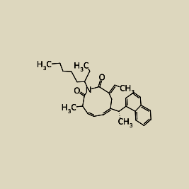 C/C=C1\C/C([C@@H](C)c2cccc3ccccc23)=C\C=C/C(C)C(=O)N(C(CC)CCCCC)C1=O